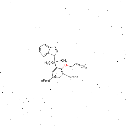 C=CCOc1c(CCCCC)cc(CCCCC)cc1[Si](C)(C)C1C=Cc2ccccc21